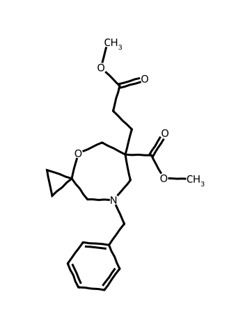 COC(=O)CCC1(C(=O)OC)COC2(CC2)CN(Cc2ccccc2)C1